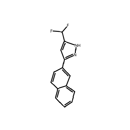 FC(F)c1cc(-c2ccc3ccccc3c2)n[nH]1